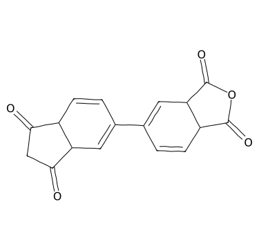 O=C1CC(=O)C2C=C(C3=CC4C(=O)OC(=O)C4C=C3)C=CC12